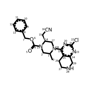 CC1CN(C(=O)OCc2ccccc2)[C@@H](CC#N)CN1c1nc(Cl)nc2c1CCNC2